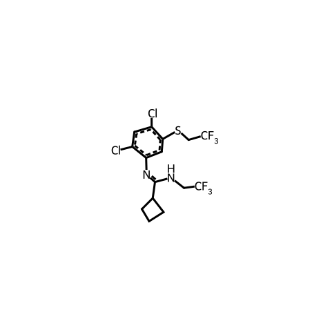 FC(F)(F)CN/C(=N\c1cc(SCC(F)(F)F)c(Cl)cc1Cl)C1CCC1